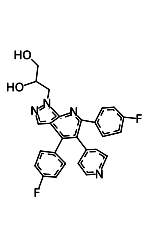 OCC(O)Cn1ncc2c(-c3ccc(F)cc3)c(-c3ccncc3)c(-c3ccc(F)cc3)nc21